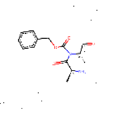 C[C@H](N)C(=O)N(C(=O)OCc1ccccc1)[C@@H](C)[C]=O